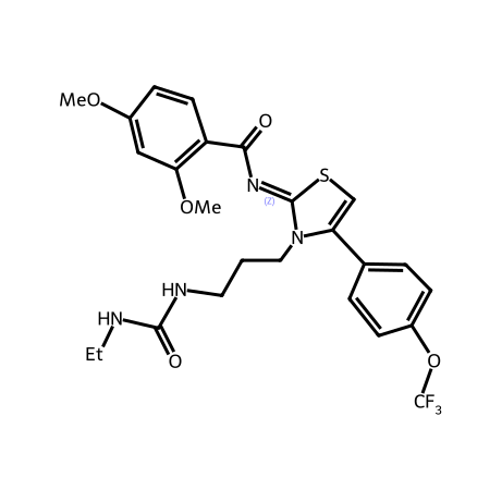 CCNC(=O)NCCCn1c(-c2ccc(OC(F)(F)F)cc2)cs/c1=N\C(=O)c1ccc(OC)cc1OC